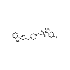 CC(C)C(C#N)(CCCN1CCN(CCS(=O)(=O)N(C)c2ccc(F)cc2)CC1)c1ccccc1